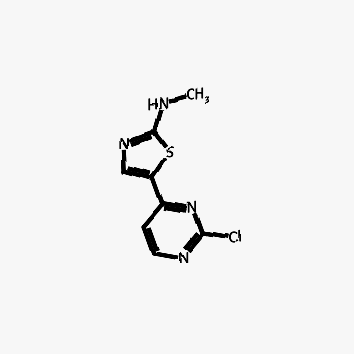 CNc1ncc(-c2ccnc(Cl)n2)s1